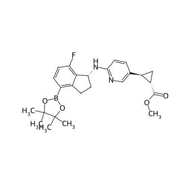 COC(=O)[C@H]1C[C@@H]1c1ccc(N[C@@H]2CCc3c(B4OC(C)(C)C(C)(C)O4)ccc(F)c32)nc1